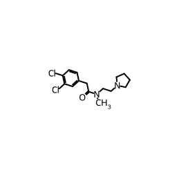 CN(CCN1CCCC1)C(=O)Cc1ccc(Cl)c(Cl)c1